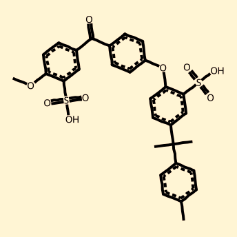 COc1ccc(C(=O)c2ccc(Oc3ccc(C(C)(C)c4ccc(C)cc4)cc3S(=O)(=O)O)cc2)cc1S(=O)(=O)O